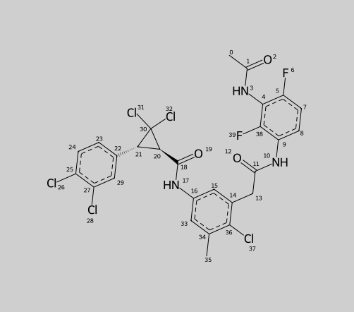 CC(=O)Nc1c(F)ccc(NC(=O)Cc2cc(NC(=O)[C@H]3[C@H](c4ccc(Cl)c(Cl)c4)C3(Cl)Cl)cc(C)c2Cl)c1F